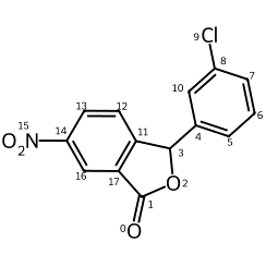 O=C1OC(c2cccc(Cl)c2)c2ccc([N+](=O)[O-])cc21